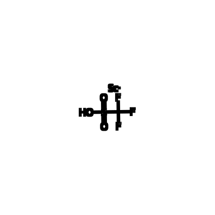 O=S(=O)(O)C(F)(F)F.[Sc]